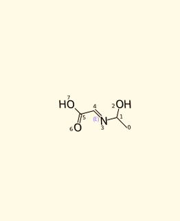 CC(O)/N=C/C(=O)O